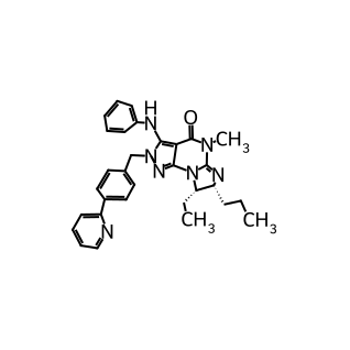 CCC[C@H]1N=C2N(C)C(=O)c3c(nn(Cc4ccc(-c5ccccn5)cc4)c3Nc3ccccc3)N2[C@H]1CC